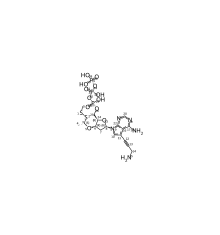 CSS[C@@H](C)O[C@@H]1C[C@H](n2cc(C#CCN)c3c(N)ncnc32)O[C@@H]1COP(=O)(O)OP(=O)(O)OP(=O)(O)O